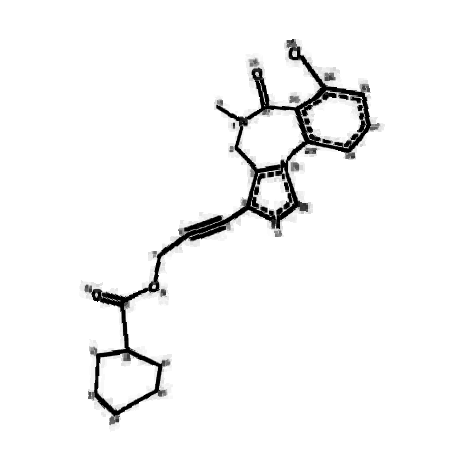 CN1Cc2c(C#CCOC(=O)C3CCCCC3)ncn2-c2cccc(Cl)c2C1=O